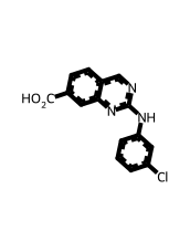 O=C(O)c1ccc2cnc(Nc3cccc(Cl)c3)nc2c1